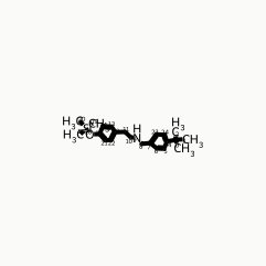 CC(C)(C)c1ccc(CNCCc2ccc(O[Si](C)(C)C)cc2)cc1